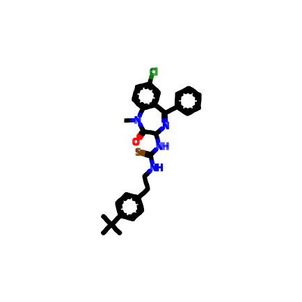 CN1C(=O)C(NC(=S)NCCc2ccc(C(C)(C)C)cc2)N=C(c2ccccc2)c2cc(Cl)ccc21